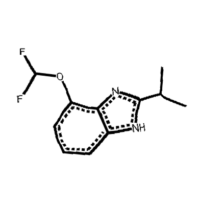 CC(C)c1nc2c(OC(F)F)cccc2[nH]1